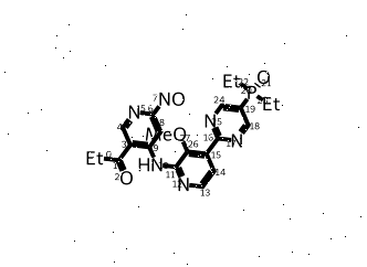 CCC(=O)c1cnc(N=O)cc1Nc1nccc(-c2ncc(P(=O)(CC)CC)cn2)c1OC